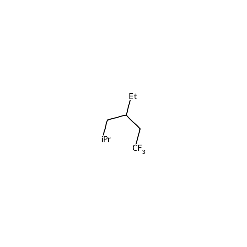 CCC(CC(C)C)CC(F)(F)F